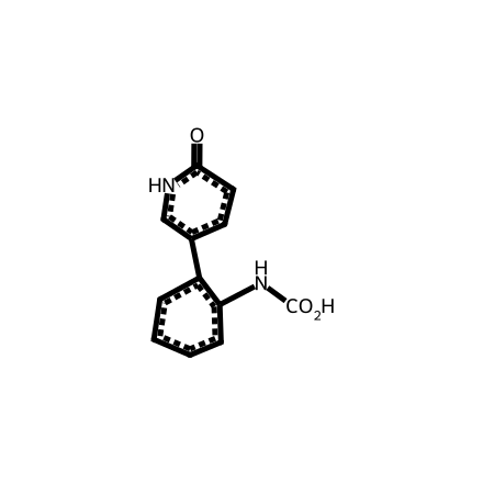 O=C(O)Nc1ccccc1-c1ccc(=O)[nH]c1